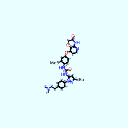 CSc1cc(Oc2ccnc3c2OCC(=O)N3)ccc1NC(=O)Nc1cc(C(C)(C)C)nn1-c1ccc(CCN(C)C)cc1